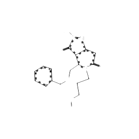 CCOCCCn1c(COCc2ccccc2)c2c(=O)n(C)[nH]c2cc1=O